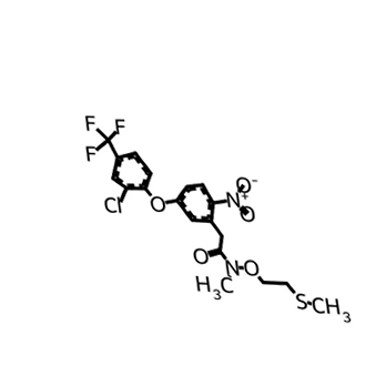 CSCCON(C)C(=O)Cc1cc(Oc2ccc(C(F)(F)F)cc2Cl)ccc1[N+](=O)[O-]